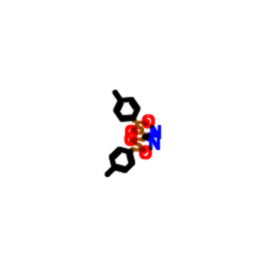 Cc1ccc(S(=O)(=O)C2(S(=O)(=O)c3ccc(C)cc3)N=N2)cc1